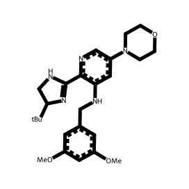 COc1cc(CNc2cc(N3CCOCC3)cnc2C2=NC(C(C)(C)C)CN2)cc(OC)c1